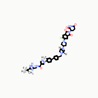 Cc1cc(-c2ccc(CN3C[C@H]4C[C@@H]3CN4C3CCN(c4cc5c(cc4F)C(=O)N(C4CCC(=O)NC4=O)C5=O)CC3)cc2)ccc1-n1cc(C(=O)NCc2nc(C(C)(C)C(F)(F)F)n[nH]2)cn1